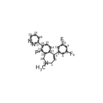 CN1CC=C(c2cc(F)cc(F)c2)c2ccc(-c3cccnn3)c(F)c2C1